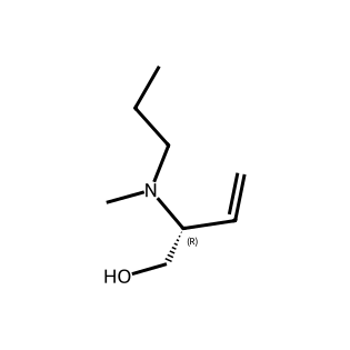 C=C[C@H](CO)N(C)CCC